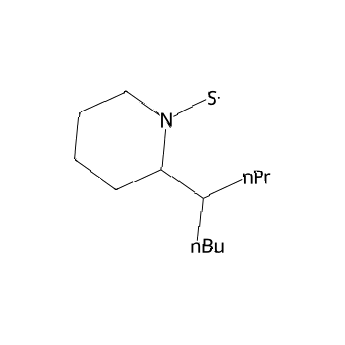 CCCCC(CCC)C1CCCCN1[S]